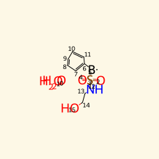 O.O.O=S(=O)([B]c1ccccc1)NCCO